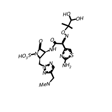 CNCc1cnn(C[C@@H]2[C@H](NC(=O)/C(=N\OC(C)(C)C(O)O)c3csc(N)n3)C(=O)N2S(=O)(=O)O)n1